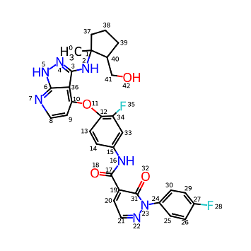 CC1(Nc2n[nH]c3nccc(Oc4ccc(NC(=O)c5ccnn(-c6ccc(F)cc6)c5=O)cc4F)c23)CCCC1CO